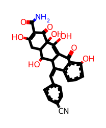 N#Cc1ccc(/C=C2\c3cccc(O)c3C(=O)C3=C(O)C4(O)C(=O)C(C(N)=O)=C(O)CC4C(O)C32)cc1